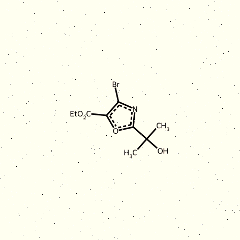 CCOC(=O)c1oc(C(C)(C)O)nc1Br